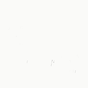 Cl.O=C(O)C1CC(c2cccc3c2COC(F)(F)O3)CN1